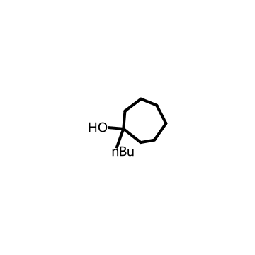 CCCCC1(O)CCCCCC1